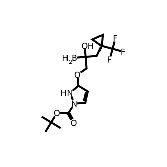 BC(O)(COC1C=CN(C(=O)OC(C)(C)C)N1)CC1(C(F)(F)F)CC1